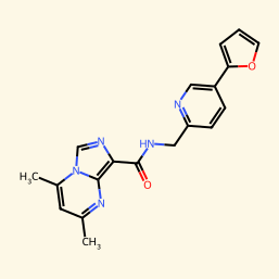 Cc1cc(C)n2cnc(C(=O)NCc3ccc(-c4ccco4)cn3)c2n1